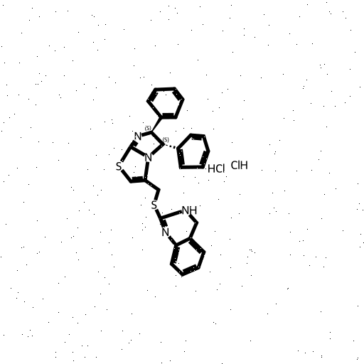 C1=C(CSC2=Nc3ccccc3CN2)N2C(=N[C@@H](c3ccccc3)[C@@H]2c2ccccc2)S1.Cl.Cl